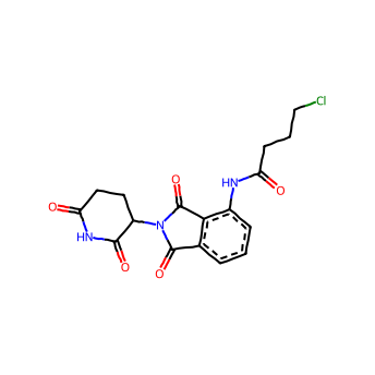 O=C1CCC(N2C(=O)c3cccc(NC(=O)CCCCl)c3C2=O)C(=O)N1